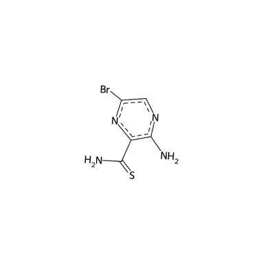 NC(=S)c1nc(Br)cnc1N